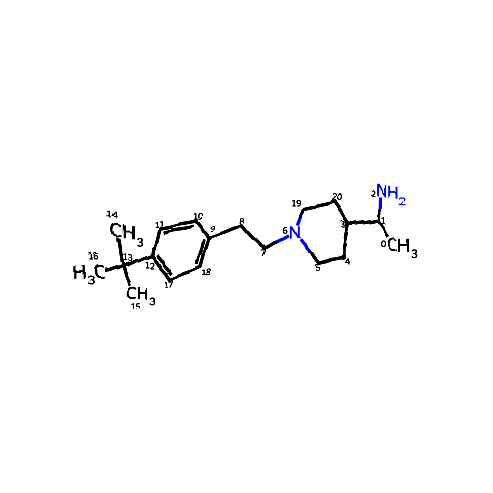 CC(N)C1CCN(CCc2ccc(C(C)(C)C)cc2)CC1